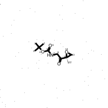 CC(C)(C)OC(=O)NCC(=O)[C@]1(C)CO1